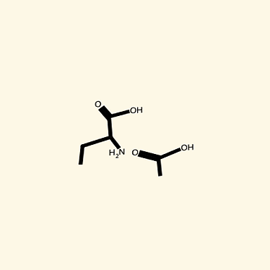 CC(=O)O.CCC(N)C(=O)O